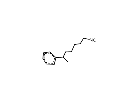 [C-]#[N+]CCCCCC(C)c1ccccc1